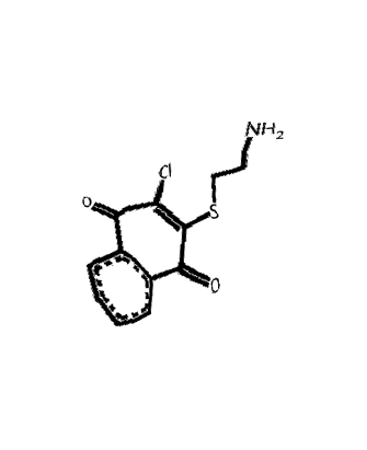 NCCSC1=C(Cl)C(=O)c2ccccc2C1=O